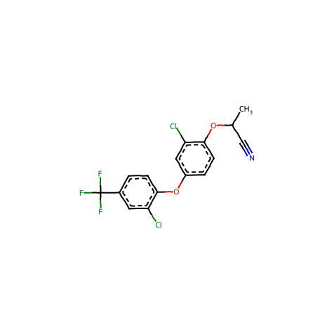 CC(C#N)Oc1ccc(Oc2ccc(C(F)(F)F)cc2Cl)cc1Cl